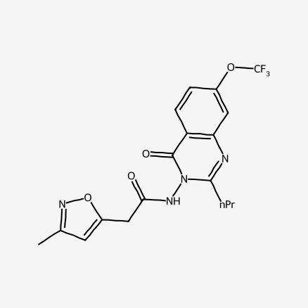 CCCc1nc2cc(OC(F)(F)F)ccc2c(=O)n1NC(=O)Cc1cc(C)no1